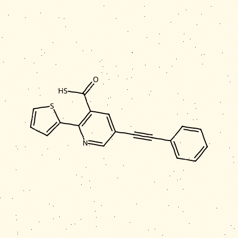 O=C(S)c1cc(C#Cc2ccccc2)cnc1-c1cccs1